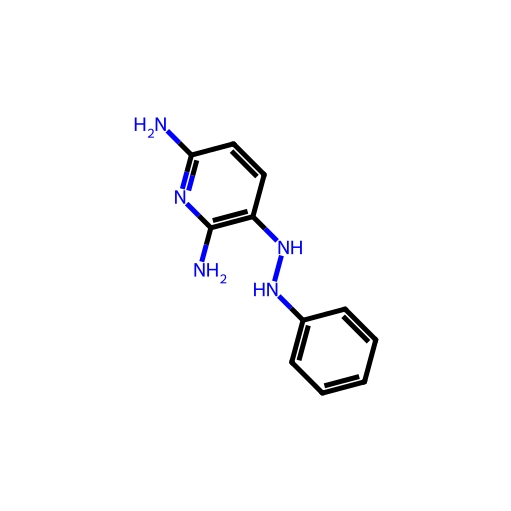 Nc1ccc(NNc2ccccc2)c(N)n1